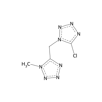 Cn1nnnc1Cn1nnnc1Cl